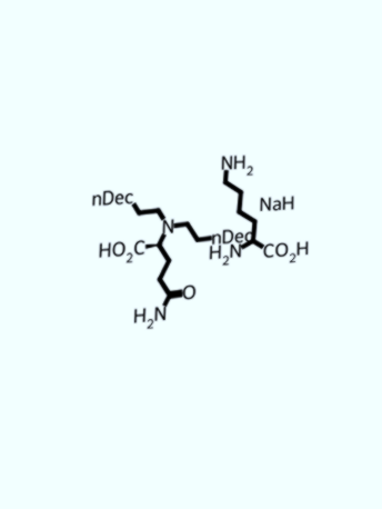 CCCCCCCCCCCCN(CCCCCCCCCCCC)[C@@H](CCC(N)=O)C(=O)O.NCCCCC(N)C(=O)O.[NaH]